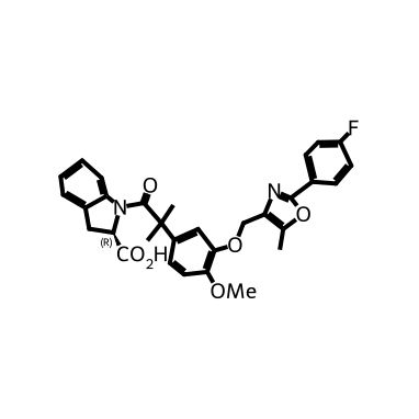 COc1ccc(C(C)(C)C(=O)N2c3ccccc3C[C@@H]2C(=O)O)cc1OCc1nc(-c2ccc(F)cc2)oc1C